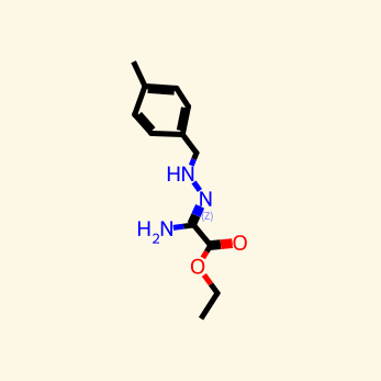 CCOC(=O)/C(N)=N/NCc1ccc(C)cc1